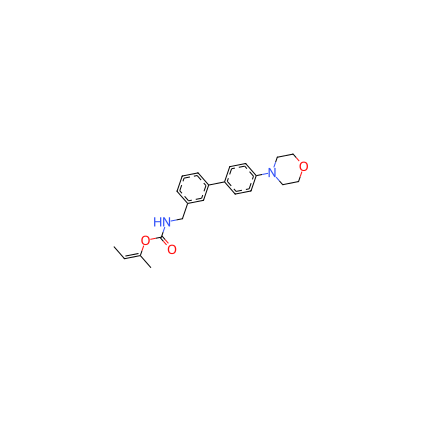 C/C=C(/C)OC(=O)NCc1cccc(-c2ccc(N3CCOCC3)cc2)c1